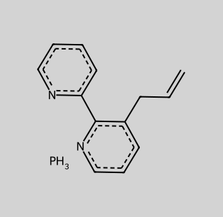 C=CCc1cccnc1-c1ccccn1.P